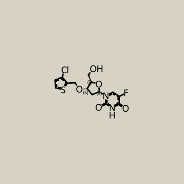 O=c1[nH]c(=O)n([C@H]2C[C@H](OCc3sccc3Cl)[C@@H](CO)O2)cc1F